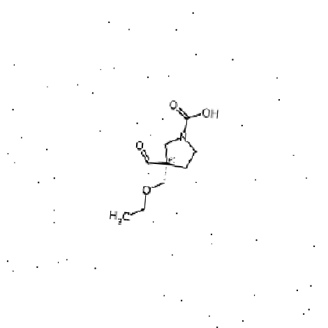 CCOC[C@@]1(C=O)CCN(C(=O)O)C1